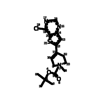 CC(C)(C)OC(=O)[N+]1(C)CC=C(c2cc3ncnc(Cl)c3s2)CC1